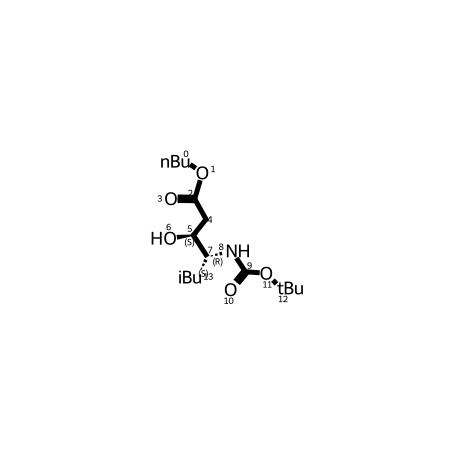 CCCCOC(=O)C[C@H](O)[C@H](NC(=O)OC(C)(C)C)[C@@H](C)CC